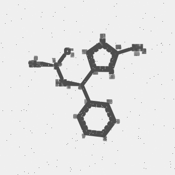 CC(C)(C)[S@@+]([O-])N[C@H](c1ccccc1)c1cnc(N)s1